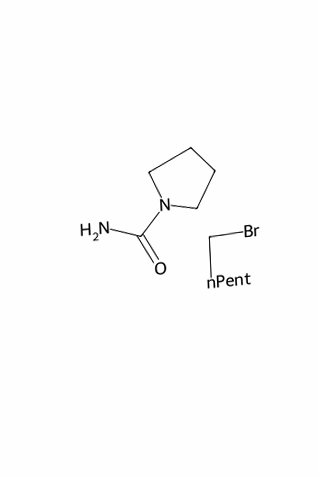 CCCCCCBr.NC(=O)N1CCCC1